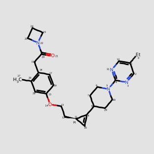 CCc1cnc(N2CCC(C3=C[C@H]3CCOc3ccc(CC(=O)N4CCC4)c(C)c3)CC2)nc1